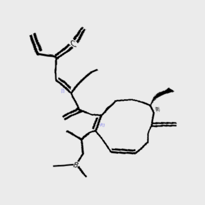 C=C=C(C=C)/C=C(\C)C(=C)/C1=C(\C(C)B(C)C)C=CCC(=C)[C@H](C)CC1